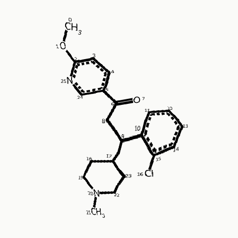 COc1ccc(C(=O)CC(c2ccccc2Cl)C2CCN(C)CC2)cn1